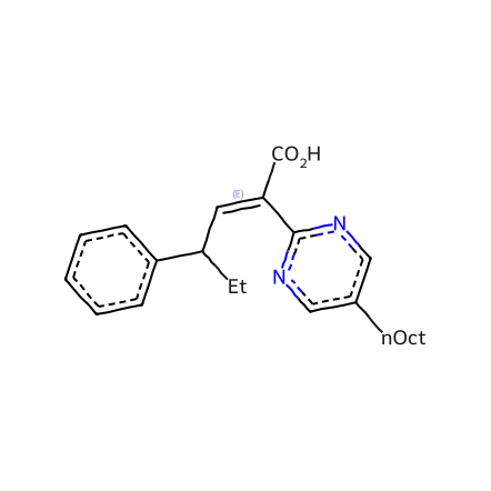 CCCCCCCCc1cnc(/C(=C\C(CC)c2ccccc2)C(=O)O)nc1